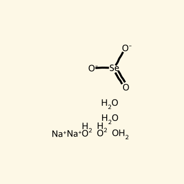 O.O.O.O.O.O=[Se]([O-])[O-].[Na+].[Na+]